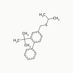 CC(C)SCc1ccc(-c2ccccc2)c(C(C)(C)C)c1